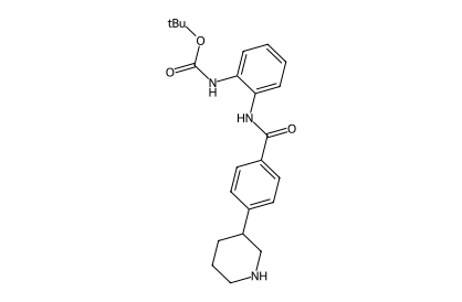 CC(C)(C)OC(=O)Nc1ccccc1NC(=O)c1ccc(C2CCCNC2)cc1